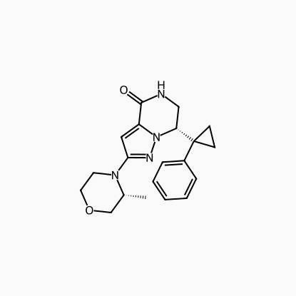 C[C@@H]1COCCN1c1cc2n(n1)[C@@H](C1(c3ccccc3)CC1)CNC2=O